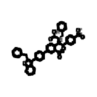 O=C(O)[C@H](Cc1ccccc1)N(C(=O)c1ccc([N+](=O)[O-])cc1)c1ccc(-c2ccc(-c3c(Cc4ccccc4)oc4ccccc34)cc2)cc1[N+](=O)[O-]